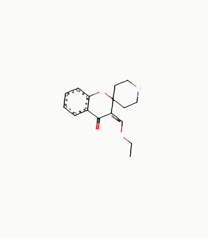 CCO/C=C1\C(=O)c2ccccc2OC12CCNCC2